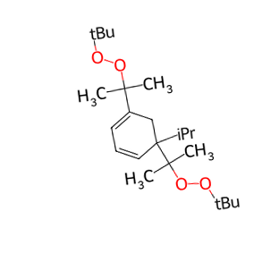 CC(C)C1(C(C)(C)OOC(C)(C)C)C=CC=C(C(C)(C)OOC(C)(C)C)C1